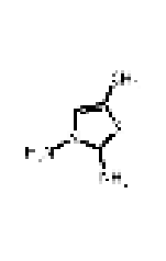 CC1=CN(N)C(N)S1